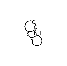 C1CCCCC2CC(CCC1)NC1CCCCCCCC3C(S2)C13